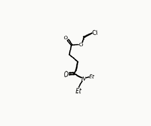 CCN(CC)C(=O)CCC(=O)OCCl